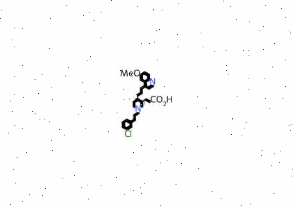 COc1ccc2nccc(CCC[C@@H]3CCN(CCCc4cccc(Cl)c4)C[C@@H]3CCC(=O)O)c2c1